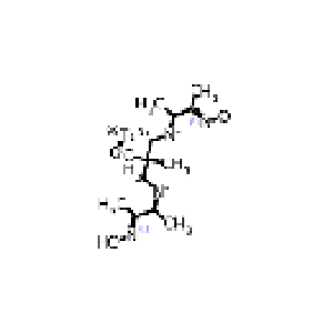 C/C(=N\[O-])C(C)[N-]CC(C)(C)C[N-]C(C)/C(C)=N/O.[O]=[99Tc+3]